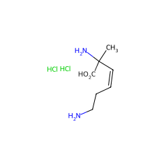 CC(N)(/C=C\CCN)C(=O)O.Cl.Cl